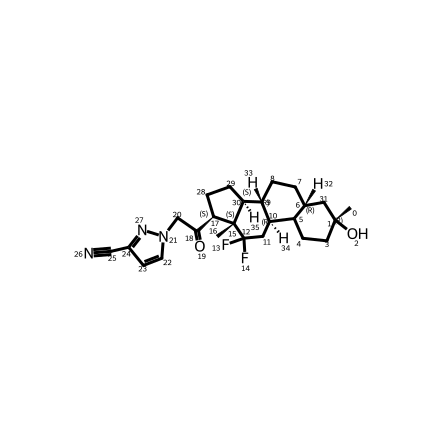 C[C@@]1(O)CCC2[C@H](CC[C@@H]3[C@@H]2CC(F)(F)[C@]2(C)[C@@H](C(=O)Cn4ccc(C#N)n4)CC[C@@H]32)C1